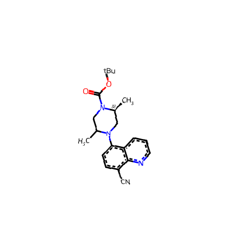 CC1CN(C(=O)OC(C)(C)C)[C@@H](C)CN1c1ccc(C#N)c2ncccc12